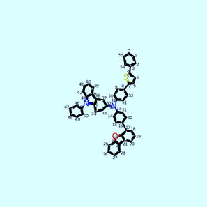 c1ccc(-c2ccc(-c3ccc(N(c4ccc(-c5cccc6c5oc5ccccc56)cc4)c4ccc5c(c4)c4ccccc4n5-c4ccccc4)cc3)s2)cc1